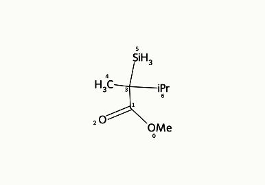 COC(=O)C(C)([SiH3])C(C)C